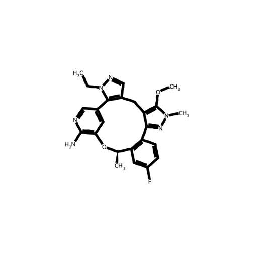 CCn1ncc2c1-c1cnc(N)c(c1)O[C@H](C)c1cc(F)ccc1-c1nn(C)c(OC)c1C2